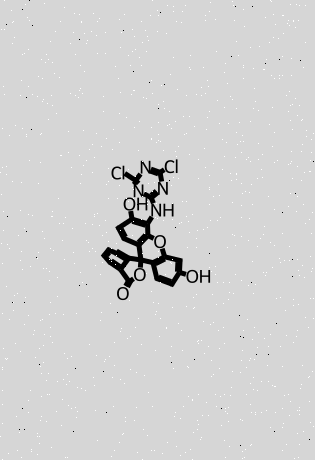 O=C1OC2(c3ccc(O)cc3Oc3c2ccc(O)c3Nc2nc(Cl)nc(Cl)n2)c2ccccc21